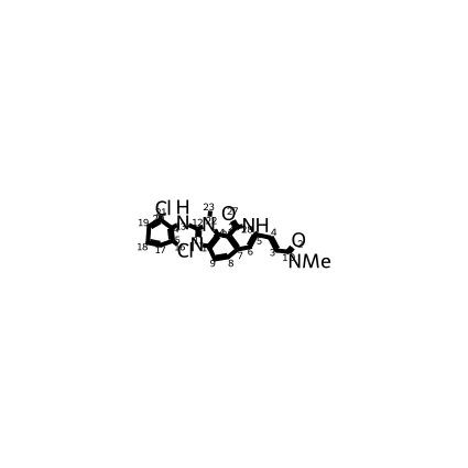 CNC(=O)C=Cc1cc2ccc3nc(Nc4c(Cl)cccc4Cl)n(C)c3c2c(=O)[nH]1